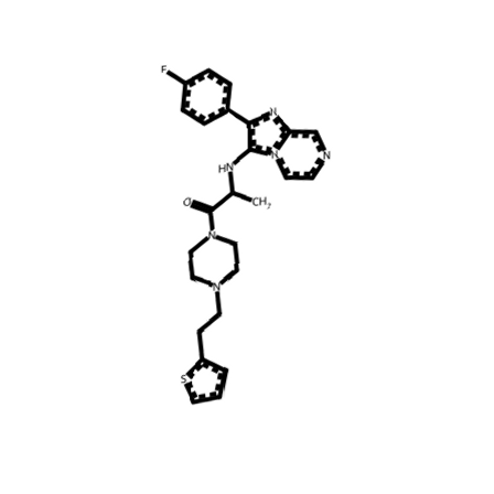 CC(Nc1c(-c2ccc(F)cc2)nc2cnccn12)C(=O)N1CCN(CCc2cccs2)CC1